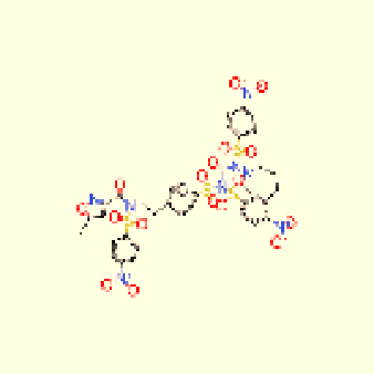 Cc1cc(C(=O)N(CCc2ccc(S(=O)(=O)N(C(=O)N(N3CCCCCC3)S(=O)(=O)c3ccc([N+](=O)[O-])cc3)S(=O)(=O)c3ccc([N+](=O)[O-])cc3)cc2)S(=O)(=O)c2ccc([N+](=O)[O-])cc2)no1